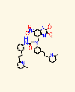 COc1nc2cc([N+](=O)[O-])cc(CN(CC(=O)Nc3cccc(C=Cc4cccc(C)n4)c3)c3cccc(C=Cc4cccc(C)n4)c3)c2nc1OC